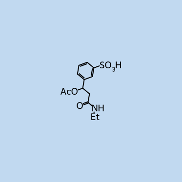 CCNC(=O)CC(OC(C)=O)c1cccc(S(=O)(=O)O)c1